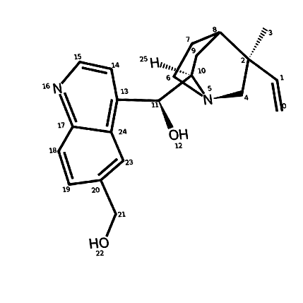 C=C[C@@]1(C)C[N@@]2CCC1C[C@@H]2[C@@H](O)c1ccnc2ccc(CO)cc12